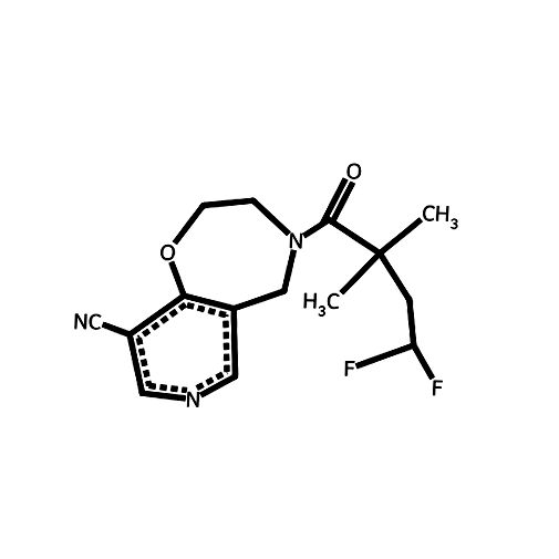 CC(C)(CC(F)F)C(=O)N1CCOc2c(C#N)cncc2C1